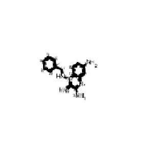 N=c1c(N)nc2cc(N)ccc2n1NCc1ccccc1